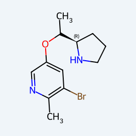 Cc1ncc(OC(C)[C@H]2CCCN2)cc1Br